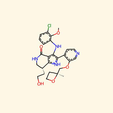 COc1c(Cl)cccc1Nc1c(-c2ccncc2OC[C@]2(C)CCO2)[nH]c2c1C(=O)NC[C@H]2CCO